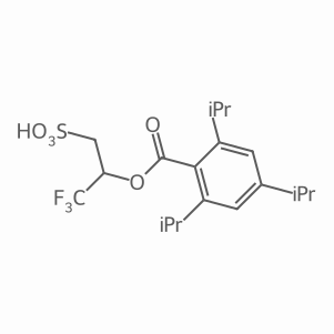 CC(C)c1cc(C(C)C)c(C(=O)OC(CS(=O)(=O)O)C(F)(F)F)c(C(C)C)c1